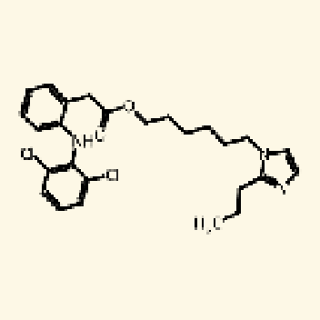 CCCc1nccn1CCCCCCOC(=O)Cc1ccccc1Nc1c(Cl)cccc1Cl